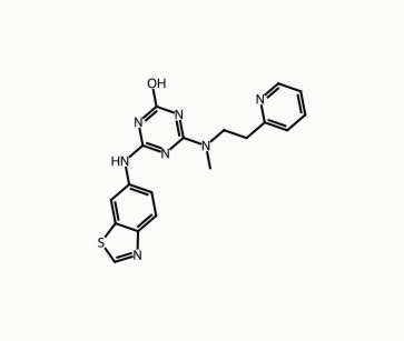 CN(CCc1ccccn1)c1nc(O)nc(Nc2ccc3ncsc3c2)n1